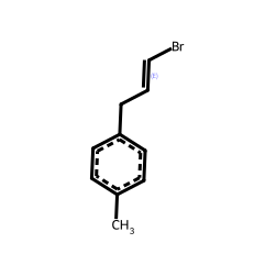 Cc1ccc(C/C=C/Br)cc1